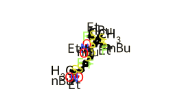 CCCCC(CC)Cc1sc(-c2c3cc(-c4sc(-c5ccc(-c6cc(F)c(-c7ccc(-c8sc(C)c9c8C(=O)N(CC(CC)CCCC)C9=O)s7)cc6F)s5)c5c4C(=O)N(CC(CC)CCCC)C5=O)sc3c(-c3cc(F)c(CC(CC)CCCC)s3)c3cc(C)sc23)cc1F